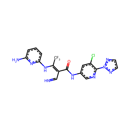 N=C/C(C(=O)Nc1cnc(-n2nccn2)c(Cl)c1)=C(\Nc1cccc(N)n1)C(F)(F)F